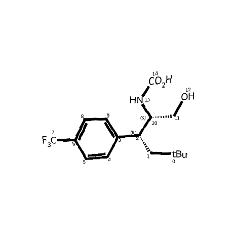 CC(C)(C)C[C@H](c1ccc(C(F)(F)F)cc1)[C@@H](CO)NC(=O)O